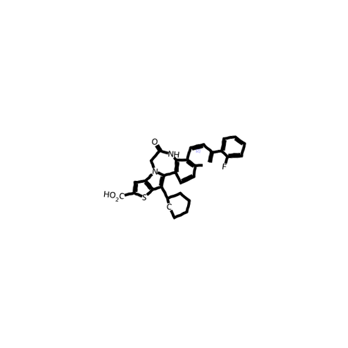 C=C(/C=C\c1c(C)ccc2c1NC(=O)Cn1c-2c(C2CCCCC2)c2sc(C(=O)O)cc21)c1ccccc1F